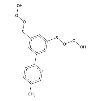 Cc1ccc(-c2cc(SOOO)cc(SOOO)c2)cc1